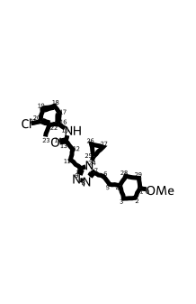 COC1CCC(CCc2nnc(CCC(=O)Nc3cccc(Cl)c3C)n2C2CC2)CC1